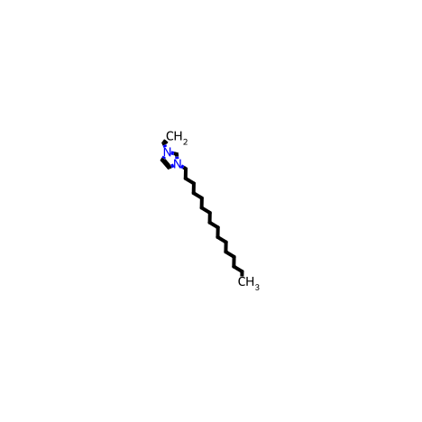 C=CN1C=CN(CCCCCCCCCCCCCCCC)C1